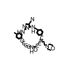 Cc1ccc2c(c1)Nc1ncc(C#N)c(n1)Nc1ccc(cc1)CN(CCN1CCOCC1)CCC(=O)NCCCO2